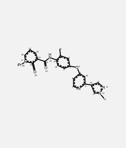 Cc1cc(Oc2ccnc(-c3cnn(C)c3)c2)ccc1NC(=O)c1cccn(C(C)C)c1=O